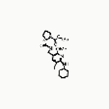 COc1nc(NC2CCCCC2)c(F)cc1CNC(=O)[C@@H]1CCCN1C(=O)OC(C)(C)C